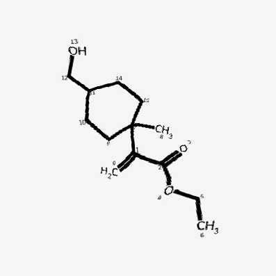 C=C(C(=O)OCC)C1(C)CCC(CO)CC1